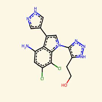 Nc1cc(Cl)c(Cl)c2c1c(-c1cn[nH]c1)cn2-c1nn[nH]c1CCO